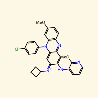 COc1ccc2nc3cc(Nc4cccnc4OC)/c(=N/C4CCC4)cc-3n(-c3ccc(Cl)cc3)c2c1